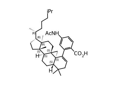 CC(=O)Nc1ccc(C(=O)O)c(C2=CCC(C)(C)[C@@H]3CC[C@@H]4[C@]5(CC[C@]6(C)[C@@H]([C@H](C)CCCC(C)C)CC[C@@]46C)C[C@]235)c1